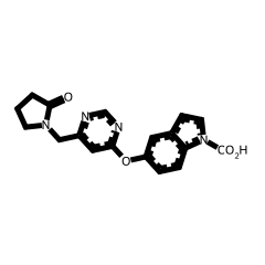 O=C1CCCN1Cc1cc(Oc2ccc3c(ccn3C(=O)O)c2)ncn1